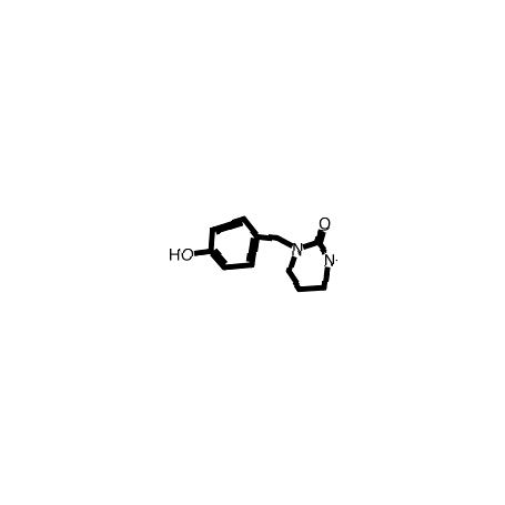 O=C1[N]CCCN1Cc1ccc(O)cc1